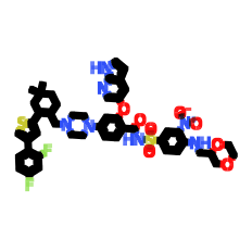 CC1(C)CCC(CN2CCN(c3ccc(C(=O)NS(=O)(=O)c4ccc(NCC5COCCO5)c([N+](=O)[O-])c4)c(Oc4cnc5[nH]ccc5c4)c3)CC2)=C(c2cc(-c3ccc(F)cc3F)cs2)C1